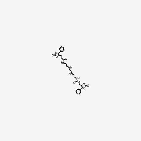 O=C(NCCNCCNCCNC(=O)OCc1oc(=O)oc1-c1ccccc1)OCc1oc(=O)oc1-c1ccccc1